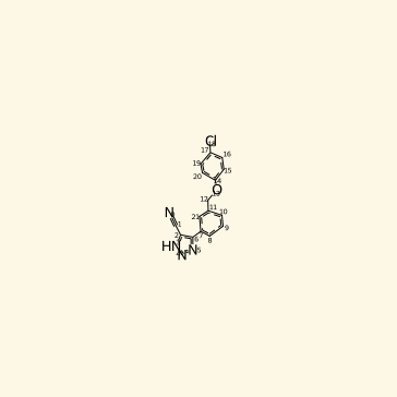 N#Cc1[nH]nnc1-c1cccc(COc2ccc(Cl)cc2)c1